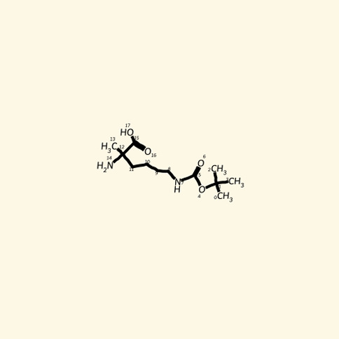 CC(C)(C)OC(=O)NCCCCC(C)(N)C(=O)O